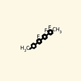 C=CC1CC=C(c2ccc(-c3ccc(-c4ccc(C)c(F)c4F)cc3)c(F)c2)CC1